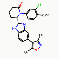 COc1ccc(N2C(=O)CCCC2[C@H]2Nc3ccc(-c4c(C)noc4C)cc3N2)cc1Cl